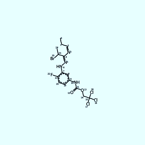 CC/C=N\C(=N\Nc1cc(NC(=O)OCC(Cl)(Cl)Cl)ccc1F)C(C)Br